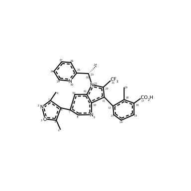 Cc1noc(C)c1-c1cnc2c(-c3cccc(C(=O)O)c3C)c(C(F)(F)F)n([C@@H](C)c3ccccn3)c2c1